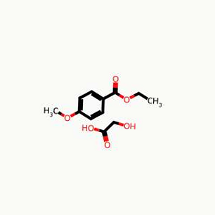 CCOC(=O)c1ccc(OC)cc1.O=C(O)CO